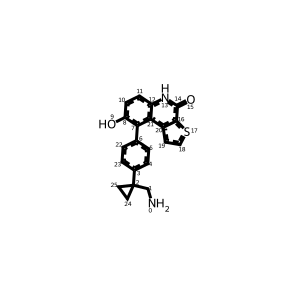 NCC1(c2ccc(-c3c(O)ccc4[nH]c(=O)c5sccc5c34)cc2)CC1